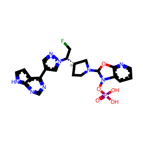 O=P(O)(O)ON1c2cccnc2OC1N1CC[C@H](C(CF)n2cc(-c3ncnc4[nH]ccc34)cn2)C1